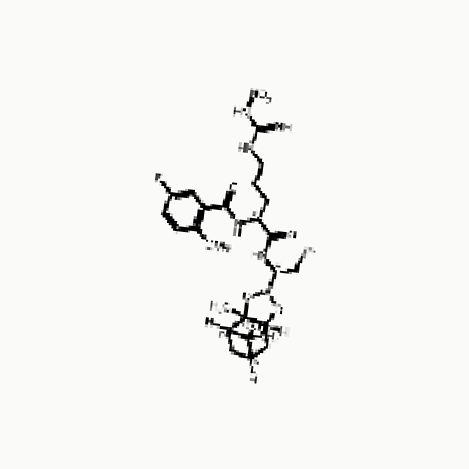 COc1ccc(F)cc1C(=O)N[C@@H](CCCNC(=N)N[N+](=O)[O-])C(=O)N[C@@H](CC(C)C)B1O[C@@H]2C[C@@H]3C[C@@H](C3(C)C)[C@]2(C)O1